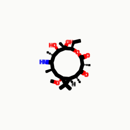 CC[C@H]1OC(=O)[C@H](C)C(=O)[C@H](C)[C@H]2C(C)(C)[C@@]2(OC)C[C@@H](C)C(=N)[C@H](C)[C@@H](O)[C@]1(C)O